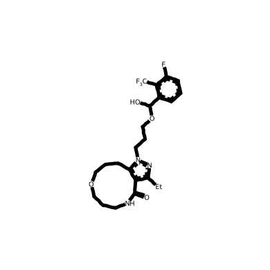 CCc1nn(CCCOC(O)c2cccc(F)c2C(F)(F)F)c2c1C(=O)NCCCOCCC2